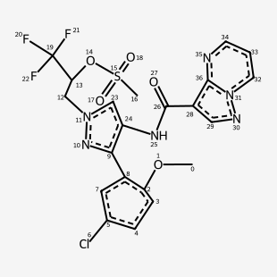 COc1ccc(Cl)cc1-c1nn(CC(OS(C)(=O)=O)C(F)(F)F)cc1NC(=O)c1cnn2cccnc12